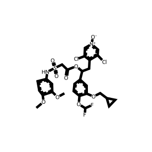 COc1ccc(NS(=O)(=O)CC(=O)OC(Cc2c(Cl)c[n+]([O-])cc2Cl)c2ccc(OC(F)F)c(OCC3CC3)c2)cc1OC